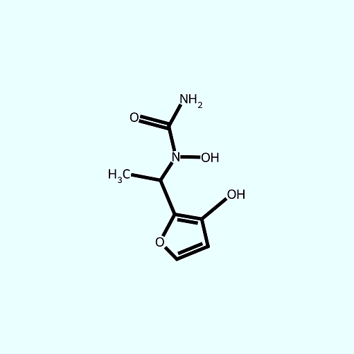 CC(c1occc1O)N(O)C(N)=O